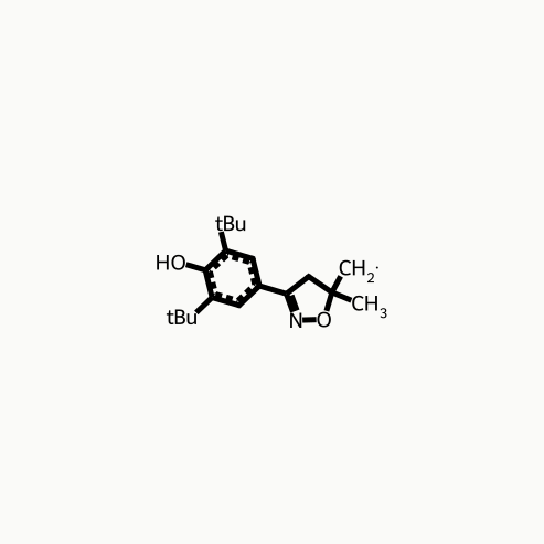 [CH2]C1(C)CC(c2cc(C(C)(C)C)c(O)c(C(C)(C)C)c2)=NO1